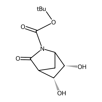 CC(C)(C)OC(=O)N1C(=O)C2CC1[C@H](O)[C@@H]2O